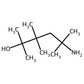 CC(C)(N)CC(C)(C)C(C)(C)O